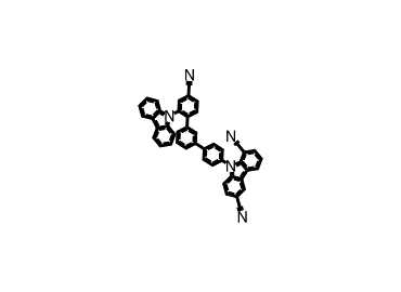 N#Cc1ccc(-c2cccc(-c3ccc(-n4c5ccc(C#N)cc5c5cccc(C#N)c54)cc3)c2)c(-n2c3ccccc3c3ccccc32)c1